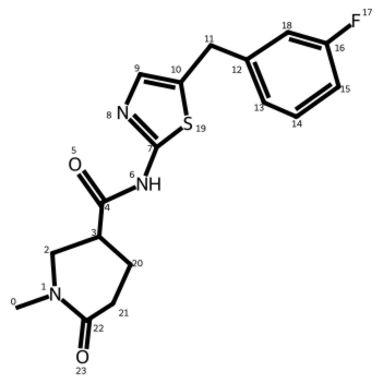 CN1CC(C(=O)Nc2ncc(Cc3cccc(F)c3)s2)CCC1=O